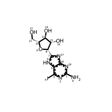 Nc1nc(I)c2[nH]c([C@@H]3O[C@H](CO)[C@@H](O)[C@@H]3O)nc2n1